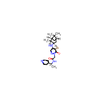 C[C@@H]1[C@H]2C[C@@H](C[C@H]1Nc1cnn(CC(=O)N[C@H](C)c3ccncc3)c(=O)c1Br)C2(C)C